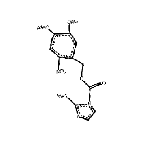 COc1cc(COC(=O)n2ccnc2SC)c([N+](=O)[O-])cc1OC